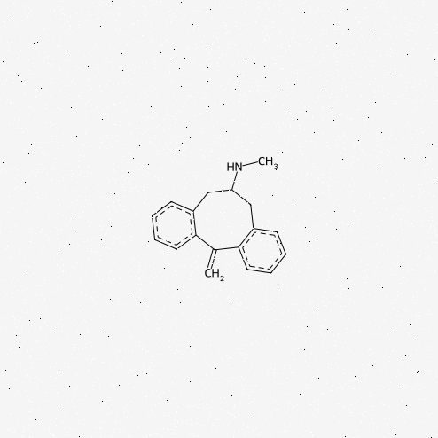 C=C1c2ccccc2CC(NC)Cc2ccccc21